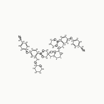 CC1(CC2CCOC(OCc3cc(Oc4ccc(C#N)cc4)ccc3B3OCCCO3)C2)COB(c2ccc(Oc3ccc(C#N)cc3)cc2COC2CCCCO2)OC1